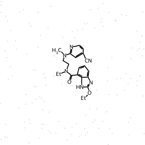 CCOc1nc2cccc(C(=O)N(CC)CCN(C)c3cc(C#N)ccn3)c2[nH]1